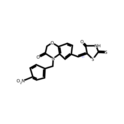 O=C1NC(=S)S/C1=C/c1ccc2c(c1)N(Cc1ccc([N+](=O)[O-])cc1)C(=O)CO2